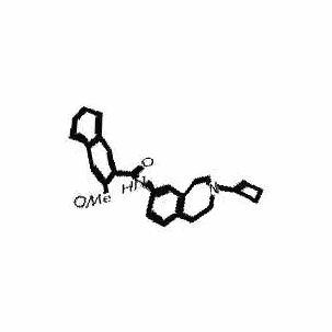 COc1cc2ccccc2cc1C(=O)Nc1ccc2c(c1)CCN(C1CCC1)CC2